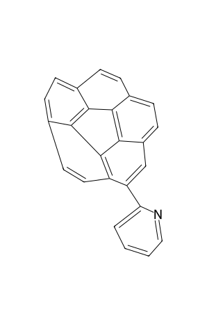 c1ccc(-c2cc3ccc4ccc5ccc6ccc2c2c6c5c4c32)nc1